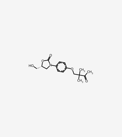 CC(=O)C(C)(C)COc1ccc(N2C[C@H](CO)OC2=O)cc1